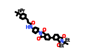 CCCC(C)(C)c1ccc(/C=C/C(=O)Nc2ccc(N3C(=O)c4ccc(-c5ccc6c(c5)C(=O)N(C(C)(CC)CC)C6=O)cc4C3=O)cc2)cc1